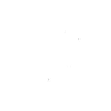 BC(C)C/C=C(\C/C(=C/CC(C)C)CC(C)C)C(C)C